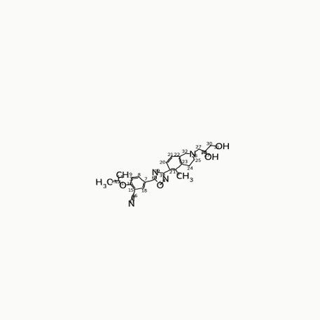 Cc1c(-c2noc(-c3ccc(OC(C)C)c(C#N)c3)n2)ccc2c1CCN(C[C@@H](O)CO)C2